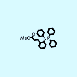 COC(=O)C=CC1=CC=CCC1=[N+](c1ccccc1)P(c1ccccc1)c1ccccc1